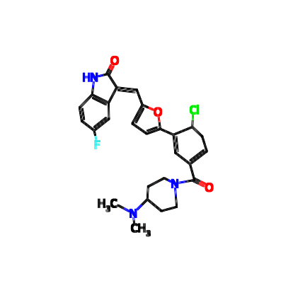 CN(C)C1CCN(C(=O)C2=CCC(Cl)C(c3ccc(/C=C4/C(=O)Nc5ccc(F)cc54)o3)=C2)CC1